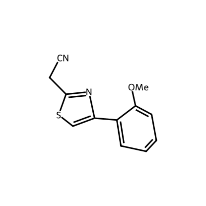 COc1ccccc1-c1csc(CC#N)n1